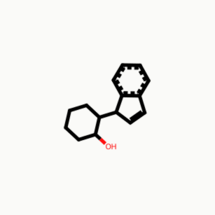 OC1CCCCC1C1C=Cc2ccccc21